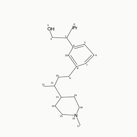 CC(C)C(CO)c1cccc(CCC(C)C2CCN(C)CC2)c1